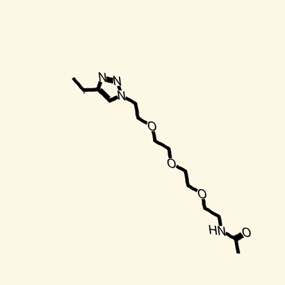 C[CH]c1cn(CCOCCOCCOCCNC(C)=O)nn1